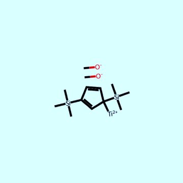 C[O-].C[O-].C[Si](C)(C)C1=C[C]([Ti+2])([Si](C)(C)C)C=C1